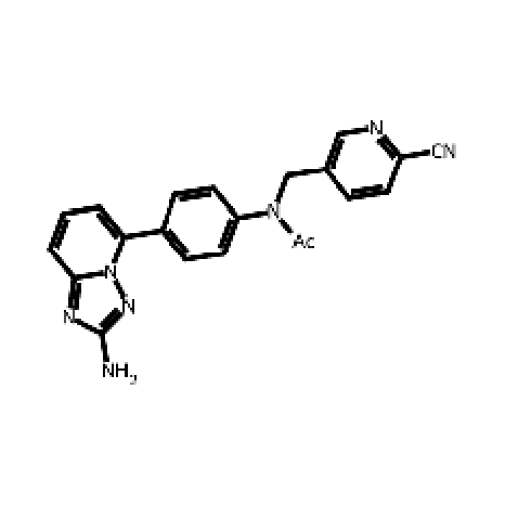 CC(=O)N(Cc1ccc(C#N)nc1)c1ccc(-c2cccc3nc(N)nn23)cc1